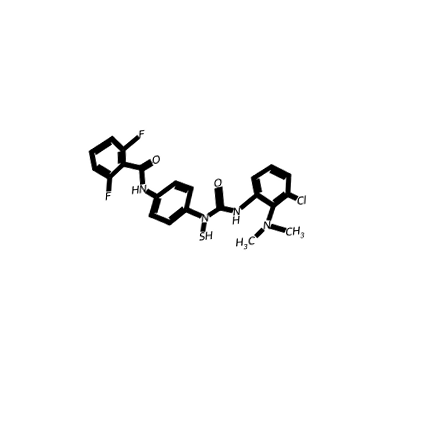 CN(C)c1c(Cl)cccc1NC(=O)N(S)c1ccc(NC(=O)c2c(F)cccc2F)cc1